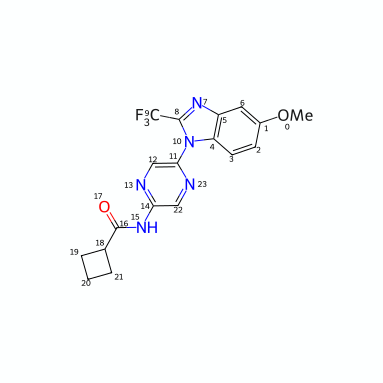 COc1ccc2c(c1)nc(C(F)(F)F)n2-c1cnc(NC(=O)C2CCC2)cn1